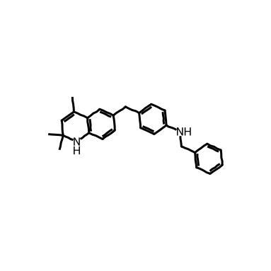 CC1=CC(C)(C)Nc2ccc(Cc3ccc(NCc4ccccc4)cc3)cc21